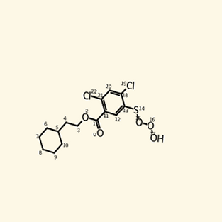 O=C(OCCC1CCCCC1)c1cc(SOOO)c(Cl)cc1Cl